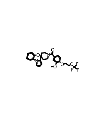 COc1cc(C(=O)N2CCC3(CC2)Oc2ccccc2-n2cccc23)ccc1OCCOC(F)(F)F